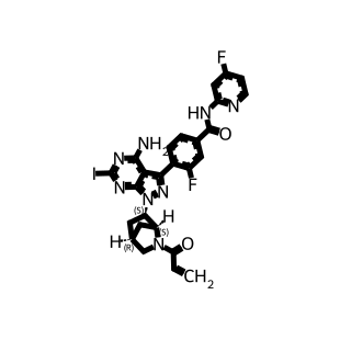 C=CC(=O)N1C[C@@H]2C[C@H]1[C@@H](n1nc(-c3ccc(C(=O)Nc4cc(F)ccn4)cc3F)c3c(N)nc(I)nc31)C2